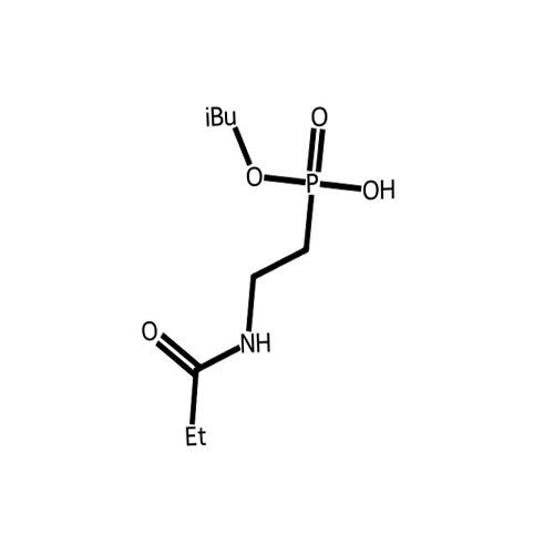 CCC(=O)NCCP(=O)(O)OC(C)CC